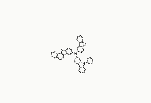 c1ccc(-n2c3ccccc3c3ccc(N(c4ccc5oc6ccccc6c5c4)c4ccc5sc6c7ccccc7ccc6c5c4)cc32)cc1